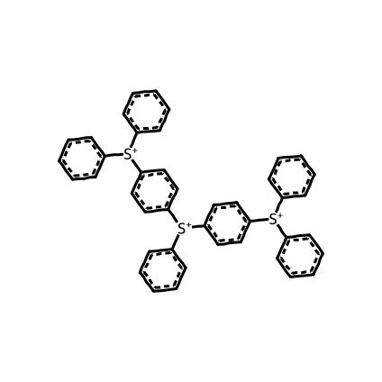 c1ccc([S+](c2ccccc2)c2ccc([S+](c3ccccc3)c3ccc([S+](c4ccccc4)c4ccccc4)cc3)cc2)cc1